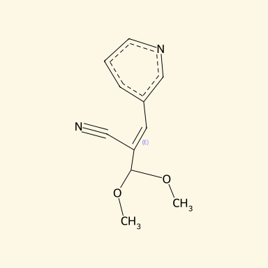 COC(OC)/C(C#N)=C/c1cccnc1